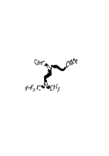 COCCN(C=O)CCN(C)C